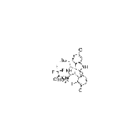 CC(C)(C)CC1NC(C(=O)O)C(c2cccc(Cl)c2F)C12C(=O)Nc1cc(Cl)ccc12.O=C(O)C(F)(F)F